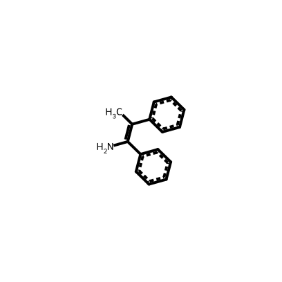 CC(=C(N)c1ccccc1)c1ccccc1